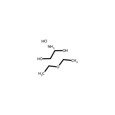 CCOCC.Cl.N.OCCO